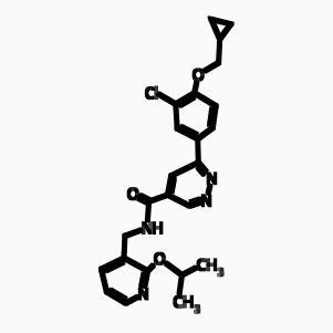 CC(C)Oc1ncccc1CNC(=O)c1cnnc(-c2ccc(OCC3CC3)c(Cl)c2)c1